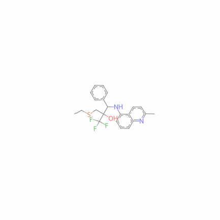 CCSCC(O)(C(Nc1cccc2nc(C)ccc12)c1ccccc1)C(F)(F)F